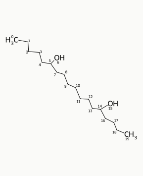 CCCCCC(O)CCCCCCCC(O)CCCC